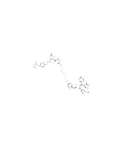 Cc1ncsc1-c1ccc(CNC(=O)[C@@H]2C[C@@H](O)CN2C(=O)C(NC(=O)COCCCOCCCOc2ccc(NC(=O)C[C@@H]3N=C(c4ccc(Cl)cc4)c4c(sc(C)c4C)-n4c(C(C)C)nnc43)cc2)C(C)(C)C)cc1